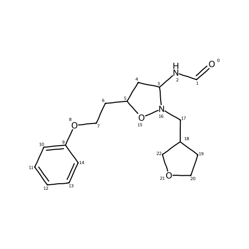 O=CNC1CC(CCOc2ccccc2)ON1CC1CCOC1